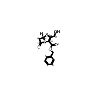 O=C(OCc1ccccc1)C1=C(CO)S[C@H]2CC(=O)N12